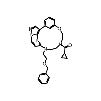 O=C(C1CC1)N1CCOc2cccc(c2)-c2cnn3ccc(nc23)N(CCOCc2ccccc2)CC1